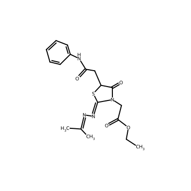 CCOC(=O)CN1C(=O)C(CC(=O)Nc2ccccc2)SC1=NN=C(C)C